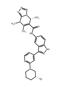 CC[C@@H]1CCCN(c2cc(-c3n[nH]c4ccc(NC(=O)C5=C(C)N(C)c6nnnn6[C@@H]5C)cc34)ccn2)C1